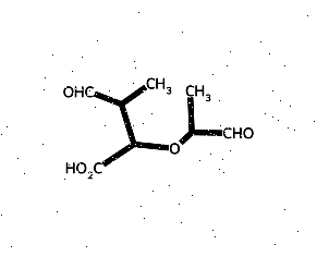 CC(C=O)OC(C(=O)O)C(C)C=O